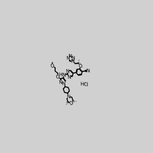 COCCCOc1nn(C2CCC(N3C[C@@H](C)O[C@@H](C)C3)CC2)cc1Nc1ncc(-c2ccc(C#N)c(O[C@@H](C)Cn3cnnn3)c2)cn1.Cl